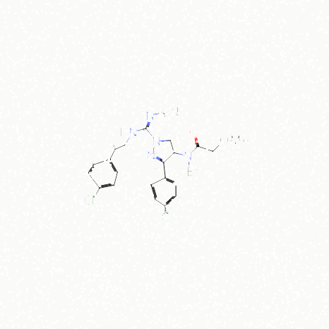 CCN(C(=O)COC)C1CN(/C(=N\C#N)NCCc2ccc(Cl)cc2)N=C1c1ccc(Cl)cc1